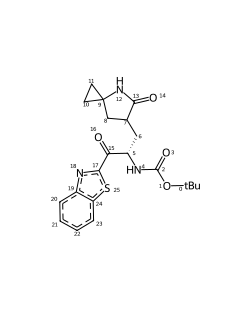 CC(C)(C)OC(=O)N[C@@H](CC1CC2(CC2)NC1=O)C(=O)c1nc2ccccc2s1